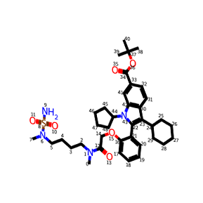 CN(CCCCN(C)S(N)(=O)=O)C(=O)COc1ccccc1-c1c(C2CCCCC2)c2ccc(C(=O)OC(C)(C)C)cc2n1C1CCCC1